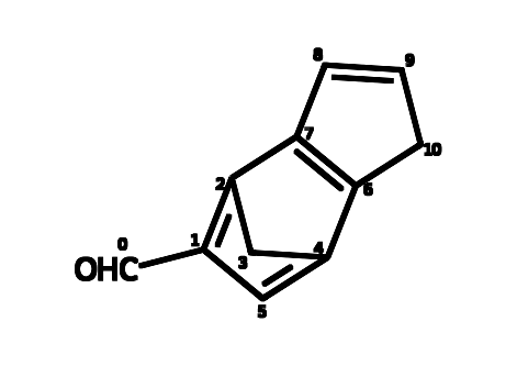 O=CC1=C2CC(=C1)C1=C2C=CC1